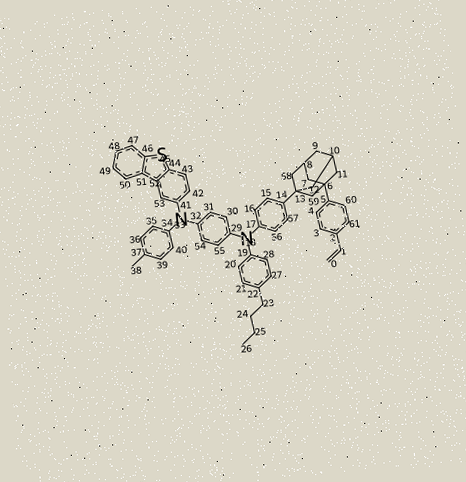 C=Cc1ccc(C23CC4CC(C2)CC(c2ccc(N(c5ccc(CCCC)cc5)c5ccc(N(c6ccc(C)cc6)c6ccc7sc8ccccc8c7c6)cc5)cc2)(C4)C3)cc1